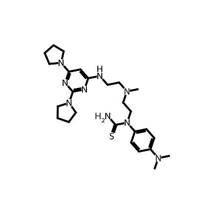 CN(CCNc1cc(N2CCCC2)nc(N2CCCC2)n1)CCN(C(N)=S)c1ccc(N(C)C)cc1